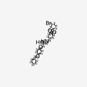 O=S(=O)(c1cccc(Br)c1)N1CCC(CNC[C@H](O)COc2ccc(OCc3ccccc3)cc2)CC1